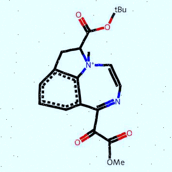 COC(=O)C(=O)C1=NC=C[N+]2(C)c3c(cccc31)CC2C(=O)OC(C)(C)C